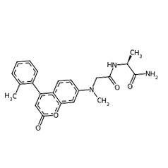 Cc1ccccc1-c1cc(=O)oc2cc(N(C)CC(=O)N[C@@H](C)C(N)=O)ccc12